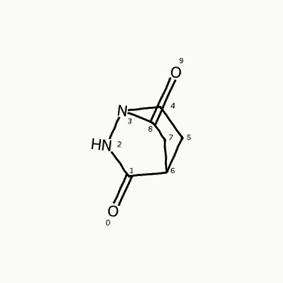 O=C1NN2CCC1CC2=O